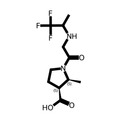 CC(NCC(=O)N1CC[C@H](C(=O)O)[C@@H]1C)C(F)(F)F